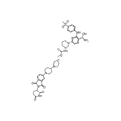 CS(=O)(=O)c1ccc(Nc2nc(N3CCC[C@@H](NC(=O)OC[C@@H]4CCN(C5CCN(c6ccc7c(c6)C(=O)N(C6CCC(=O)NC6=O)C7=O)CC5)C4)C3)cnc2C(N)O)cc1